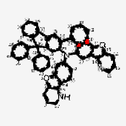 C1=Cc2oc3cc(N(c4ccc5oc6cccnc6c5c4)c4cc5c(cc4-c4ccccc4)-c4ccccc4C5(c4ccccc4)c4ccccc4)ccc3c2NC1